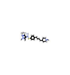 CCCc1nn(C)c(C)c1NSc1ccc(CCCCC2CCN(C)CC2)cc1